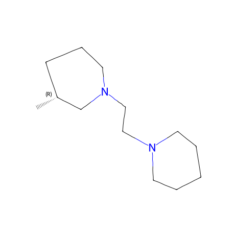 C[C@@H]1CCCN(CCN2CCCCC2)C1